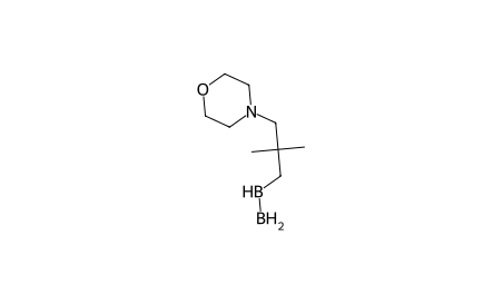 BBCC(C)(C)CN1CCOCC1